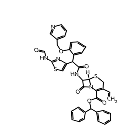 C=CC1=C(C(=O)OC(c2ccccc2)c2ccccc2)N2C(=O)C(NC(=O)C(c3csc(NC=O)n3)c3ccccc3OCc3cccnc3)[C@@H]2SC1